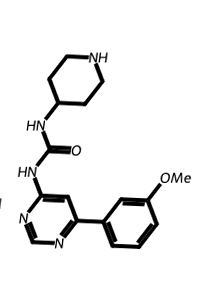 COc1cccc(-c2cc(NC(=O)NC3CCNCC3)ncn2)c1.Cl